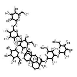 C=C1CC23CCC4[C@](C)(C(=O)OC5OC(CO)C(O)C(OC6OC(CO)C(O)C(O)C6O)C5O)CCC[C@@]4(C)[C@@H]2CC[C@]1(OC1OC(CO)C(O)C(C)(OC2OC(COC4OC(CO)C(O)C(O)C4O)C(O)C(O)C2O)C1OC1CC(CO)C(O)C(O)C1O)C3